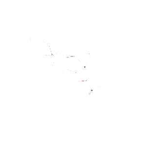 C=C(C)C(=O)OC(CC)(CCC)CCC[C@@](C)(O)CC